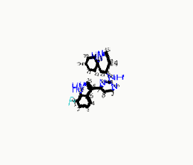 Fc1cccc2c(-c3ccnc(NC4CCNC5(CCCCC5)C4)n3)c[nH]c12